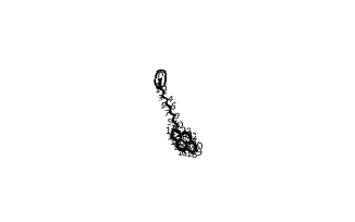 O=CCCCCCCCCCc1ccc2ccc3cccc4ccc1c2c34